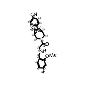 COc1cc(F)ccc1CNCC(=O)N1CC2C[C@H](C)C(C1)N2c1ccc(C#N)cn1